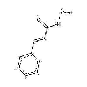 CCCCCNC(=O)/C=C/c1ccccc1